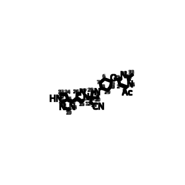 CC(=O)c1cc(O[C@H]2CC[C@H](N3CC(CC#N)(n4cc(-c5ncnc6[nH]ccc56)cn4)C3)CC2)nc(C)n1